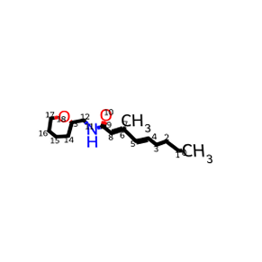 CCCC/C=C/C(C)=C/C(=O)NCC1CCCCO1